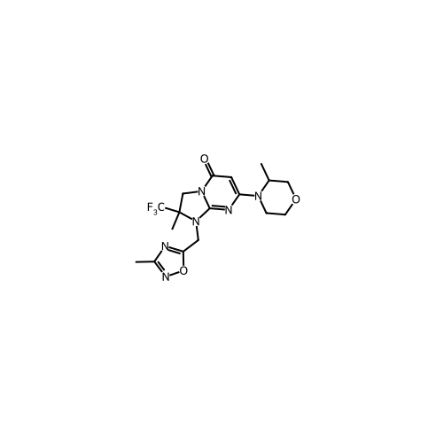 Cc1noc(CN2c3nc(N4CCOCC4C)cc(=O)n3CC2(C)C(F)(F)F)n1